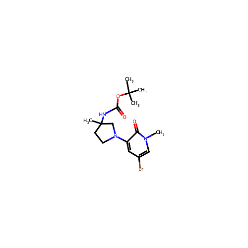 Cn1cc(Br)cc(N2CCC(C)(NC(=O)OC(C)(C)C)C2)c1=O